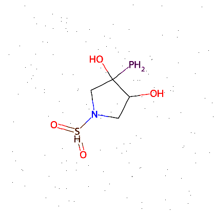 O=[SH](=O)N1CC(O)C(O)(P)C1